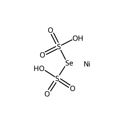 O=S(=O)(O)[Se]S(=O)(=O)O.[Ni]